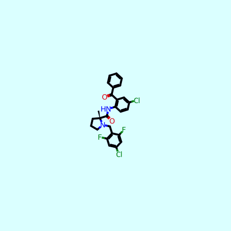 C[C@]1(C(=O)Nc2ccc(Cl)cc2C(=O)c2ccccc2)CCCN1Cc1c(F)cc(Cl)cc1F